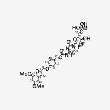 COc1cc(OC)c2oc(COc3ccc(COC(=O)Nc4ccn(C5OC(COP(=O)(O)O)[C@@H](O)C5(F)F)c(=O)n4)cc3)cc2c1